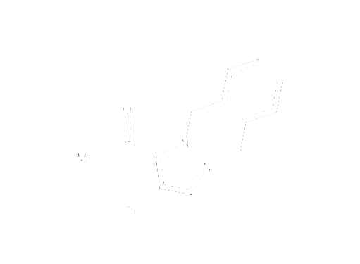 COC(=O)c1c(Br)cnn1Cc1c(C)cccc1C